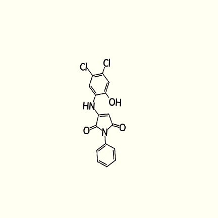 O=C1C=C(Nc2cc(Cl)c(Cl)cc2O)C(=O)N1c1ccccc1